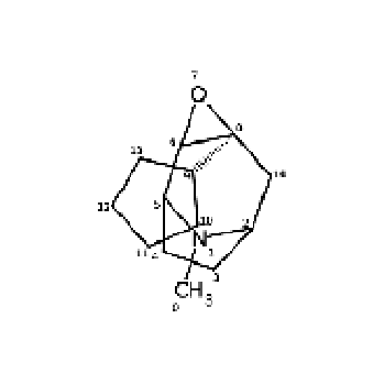 CN1C2CCC1C1O[C@@]1([C]1CCCC1)C2